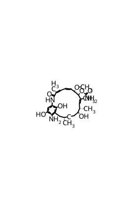 CO[C@H]1/C=C\C=C(/C)C(=O)Nc2cc(O)c(N)c(c2O)C[C@@H](C)CC[C@H](O)[C@@H](C)/C=C(\C)[C@@H]1OC(N)=O